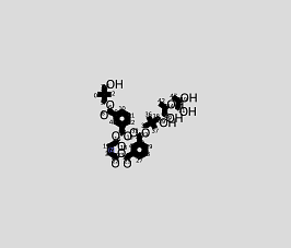 CC(C)(CO)COC(=O)c1cccc(C(=O)OC(=O)/C=C\C(=O)OC(=O)c2cccc(C(=O)OCC(C)(C)CO)c2)c1.CC(O)CO.CC(O)CO